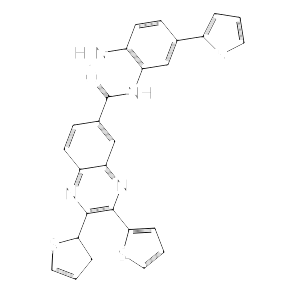 Nc1ccc(-c2cccs2)cc1NC(=O)c1ccc2nc(C3CC=CS3)c(-c3cccs3)nc2c1